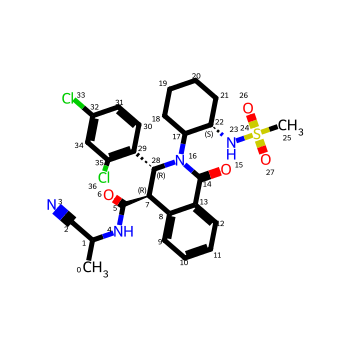 CC(C#N)NC(=O)[C@@H]1c2ccccc2C(=O)N(C2CCCC[C@@H]2NS(C)(=O)=O)[C@H]1c1ccc(Cl)cc1Cl